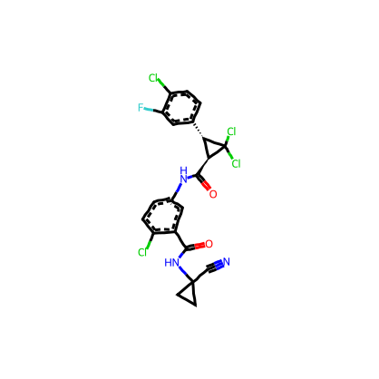 N#CC1(NC(=O)c2cc(NC(=O)[C@H]3[C@H](c4ccc(Cl)c(F)c4)C3(Cl)Cl)ccc2Cl)CC1